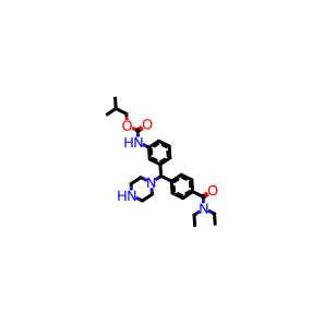 CCN(CC)C(=O)c1ccc(C(c2cccc(NC(=O)OCC(C)C)c2)N2CCNCC2)cc1